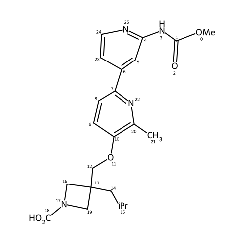 COC(=O)Nc1cc(-c2ccc(OCC3(CC(C)C)CN(C(=O)O)C3)c(C)n2)ccn1